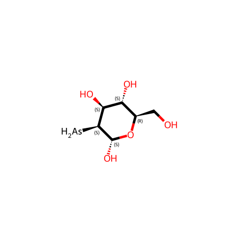 OC[C@H]1O[C@H](O)[C@@H]([AsH2])[C@@H](O)[C@@H]1O